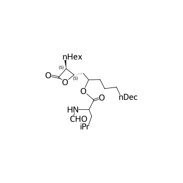 CCCCCCCCCCCCCC(C[C@@H]1OC(=O)[C@H]1CCCCCC)OC(=O)C(CC(C)C)NC=O